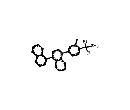 BC(CC)(CC)c1ccc(-c2ccc(-c3cccc4ccccc34)c3ccccc23)cc1C